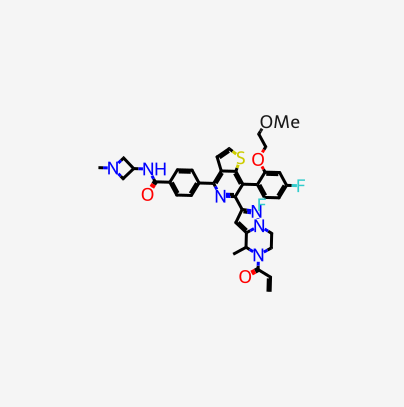 C=CC(=O)N1CCn2nc(-c3nc(-c4ccc(C(=O)NC5CN(C)C5)cc4)c4ccsc4c3-c3c(F)cc(F)cc3OCCOC)cc2C1C